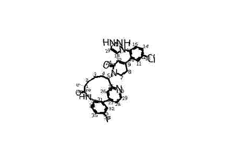 C[C@@H]1CCC[C@H](N2CCC(c3cc(Cl)ccc3N3C=CNN3)=CC2=O)c2cc(ccn2)-c2cc(F)ccc2NC1=O